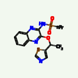 CCCS(=O)(=O)Nc1nc2ccccc2nc1OC(c1cncs1)C(F)(F)F